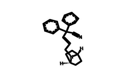 N#CC(C=CCN1[C@H]2CC[C@H]1CC2)(c1ccccc1)c1ccccc1